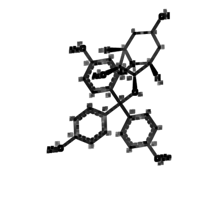 CCN1[C@@H]2CC(O)C[C@H]1[C@H](OC(C)=O)[C@@H]2OC(c1ccc(OC)cc1)(c1ccc(OC)cc1)c1ccc(OC)cc1